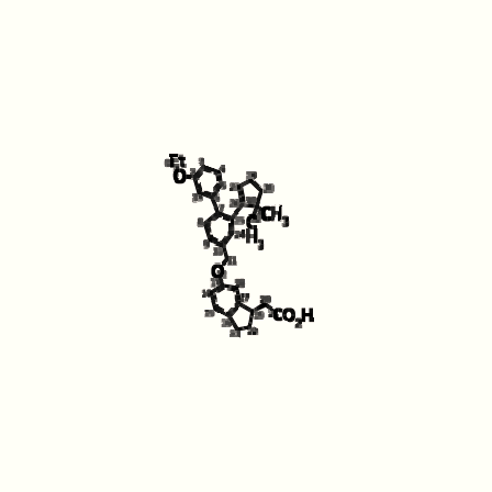 CCOc1cccc(-c2ccc(COc3ccc4c(c3)[C@@H](CC(=O)O)CC4)cc2C2=CCCC2(C)C)c1